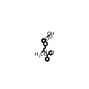 CCC(CC=C1CCc2c(cccc2OCC(=O)O)C1)=NOC(c1ccccc1)c1ccncc1